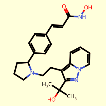 CC(C)(O)c1nn2ccccc2c1CCN1CCCC1c1ccc(C=CC(=O)NO)cc1